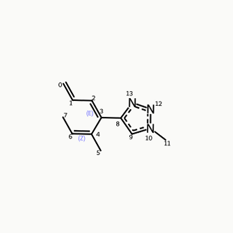 C=C/C=C(\C(C)=C/C)c1cn(C)nn1